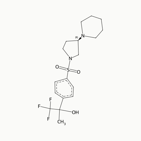 CC(O)(c1ccc(S(=O)(=O)N2CC[C@@H](N3CCCCC3)C2)cc1)C(F)(F)F